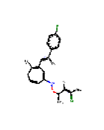 CC/C(=C(/Cl)C(C)CC)C(C)ONC1=CC(/C=C(\C)c2ccc(F)cc2)=C(C)CC=C1